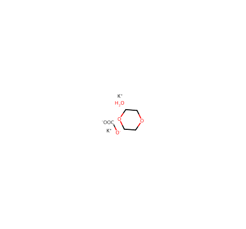 C1COCCO1.O.O=C([O-])[O-].[K+].[K+]